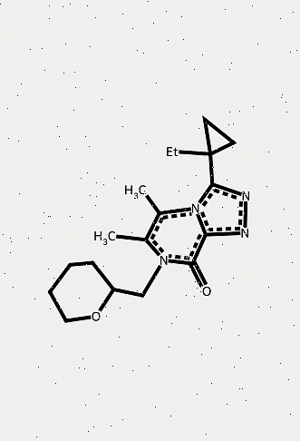 CCC1(c2nnc3c(=O)n(CC4CCCCO4)c(C)c(C)n23)CC1